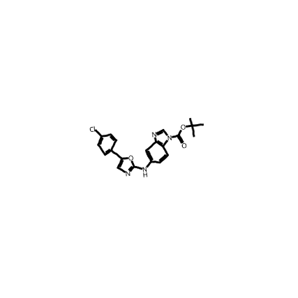 CC(C)(C)OC(=O)n1cnc2cc(Nc3ncc(-c4ccc(Cl)cc4)o3)ccc21